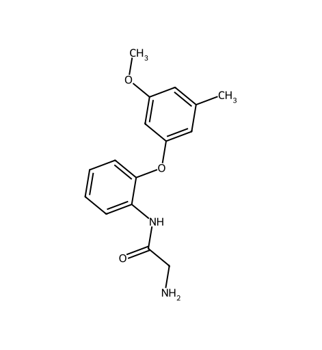 COc1cc(C)cc(Oc2ccccc2NC(=O)CN)c1